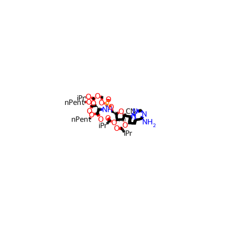 CCCCCOC(=O)C[C@H](NP(=O)(OCOC(=O)OC(C)C)OC[C@H]1O[C@@](C#N)(c2ccc3c(N)ncnn23)[C@H](OC(=O)C(C)C)[C@@H]1OC(=O)C(C)C)C(=O)OCCCCC